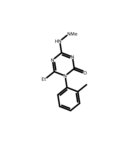 CCc1nc(NNC)nc(=O)n1-c1ccccc1C